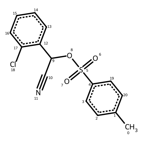 Cc1ccc(S(=O)(=O)OC(C#N)c2ccccc2Cl)cc1